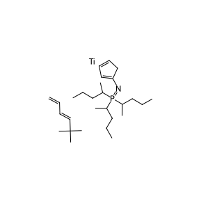 C=CC=CC(C)(C)C.CCCC(C)P(=NC1=CC=CC1)(C(C)CCC)C(C)CCC.[Ti]